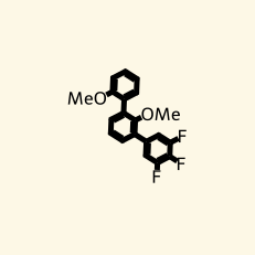 COc1ccccc1-c1cccc(-c2cc(F)c(F)c(F)c2)c1OC